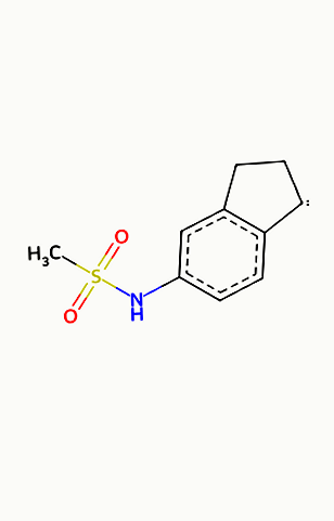 CS(=O)(=O)Nc1ccc2c(c1)CC[C]2